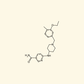 CCOc1cc(CN2CCC(Nc3ccc(C(N)=O)cn3)CC2)ccc1C